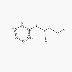 CCCC(Cl)Cc1ncccn1